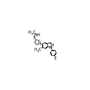 CNSC1CCN(c2cc3cnn(-c4ccc(F)cc4)c3cc2C)C1